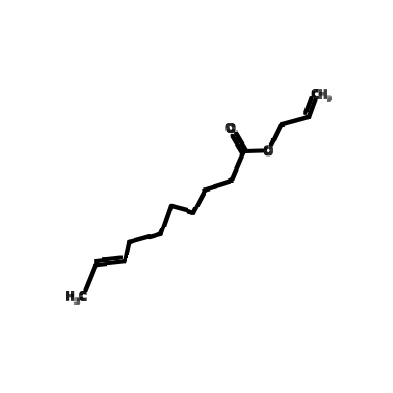 C=CCOC(=O)CCCCCCC=CC